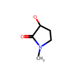 CN1CCC([O])C1=O